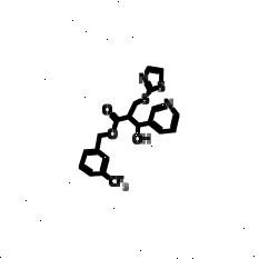 O=C(OCc1cccc(C(F)(F)F)c1)C(CSc1nccs1)C(O)c1cccnc1